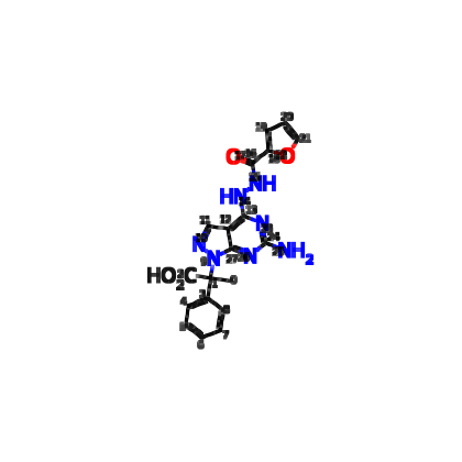 CC(C(=O)O)(c1ccccc1)n1ncc2c(NNC(=O)c3ccco3)nc(N)nc21